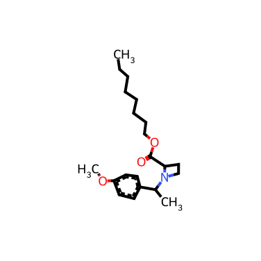 CCCCCCCCOC(=O)C1CCN1C(C)c1ccc(OC)cc1